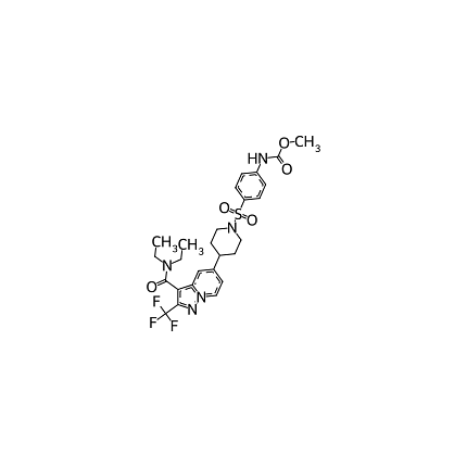 CCN(CC)C(=O)c1c(C(F)(F)F)nn2ccc(C3CCN(S(=O)(=O)c4ccc(NC(=O)OC)cc4)CC3)cc12